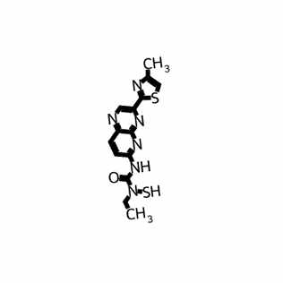 CCN(S)C(=O)Nc1ccc2ncc(-c3nc(C)cs3)nc2n1